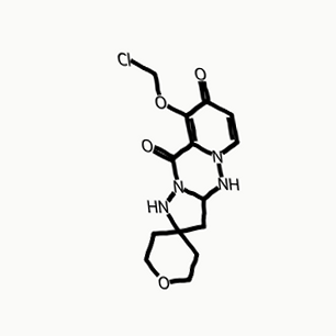 O=C1c2c(OCCl)c(=O)ccn2NC2CC3(CCOCC3)NN12